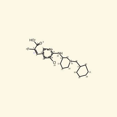 O=C(O)/C(F)=C\c1cnc(NC2CCCN(CC3CCCCC3)C2)c(Cl)c1